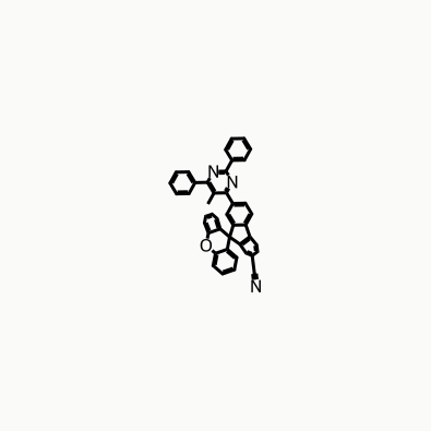 Cc1c(-c2ccccc2)nc(-c2ccccc2)nc1-c1ccc2c(c1)C1(c3ccccc3Oc3ccccc31)c1cc(C#N)ccc1-2